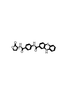 O=C(Nc1ccc(C(=O)N[C@H]2CCOC2=O)cc1)c1ccc2c(c1)Nc1ccccc1S2